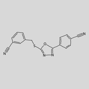 N#Cc1ccc(-c2nnc(SCc3cccc(C#N)c3)o2)cc1